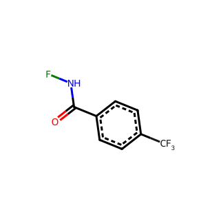 O=C(NF)c1ccc(C(F)(F)F)cc1